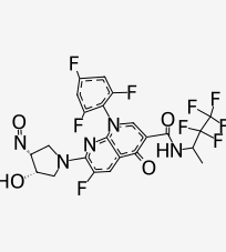 CC(NC(=O)c1cn(-c2c(F)cc(F)cc2F)c2nc(N3C[C@H](O)[C@H](N=O)C3)c(F)cc2c1=O)C(F)(F)C(F)(F)F